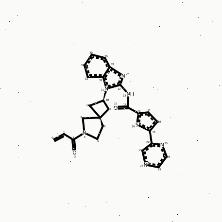 C=CC(=O)N1CC[C@]2(C1)C[C@H](n1c(NC(=O)c3ccc(-c4cnccn4)s3)nc3ccccc31)C2